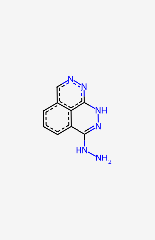 NNC1=NNc2nncc3cccc1c23